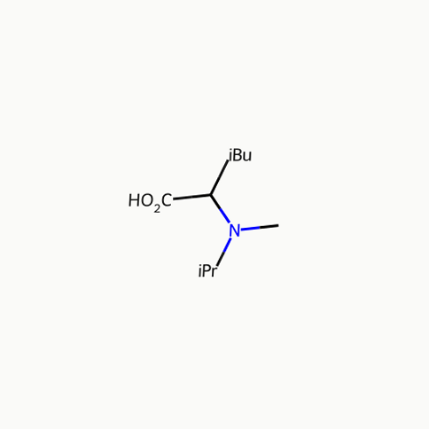 CCC(C)C(C(=O)O)N(C)C(C)C